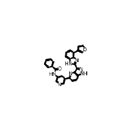 O=C(Nc1cncc(-c2ccc3[nH]nc(-c4nc5c(-c6ccoc6)cccc5[nH]4)c3n2)c1)c1ccccc1